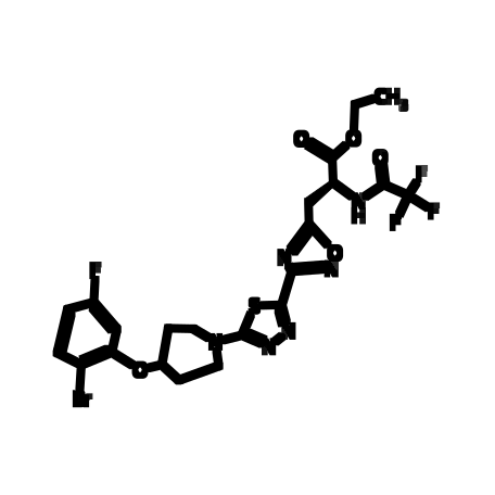 CCOC(=O)[C@H](Cc1nc(-c2nnc(N3CCC(Oc4cc(F)ccc4Br)CC3)s2)no1)NC(=O)C(F)(F)F